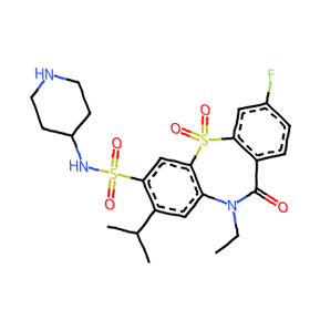 CCN1C(=O)c2ccc(F)cc2S(=O)(=O)c2cc(S(=O)(=O)NC3CCNCC3)c(C(C)C)cc21